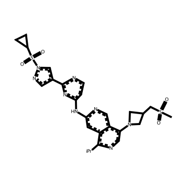 CC(C)c1ncc(N2CC(CS(C)(=O)=O)C2)c2cnc(Nc3ccnc(-c4cnn(S(=O)(=O)C5CC5)c4)n3)cc12